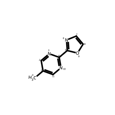 Cc1cnc(-c2ncco2)nc1